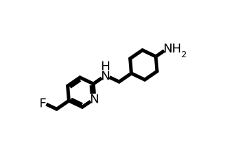 NC1CCC(CNc2ccc(CF)cn2)CC1